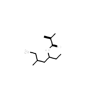 [CH2]CC(CC(C)CBr)OC(=O)C(=C)C